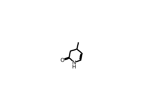 CC1C=CNC(=O)C1